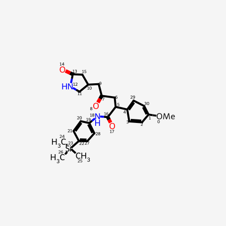 COc1ccc(C(CC(=O)CC2CNC(=O)C2)C(=O)Nc2ccc([Si](C)(C)C)cc2)cc1